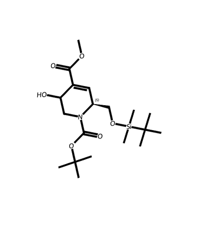 COC(=O)C1=C[C@@H](CO[Si](C)(C)C(C)(C)C)N(C(=O)OC(C)(C)C)CC1O